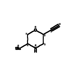 C#CC1CNC(C(C)(C)C)CO1